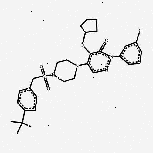 CC(C)(C)c1ccc(CS(=O)(=O)N2CCN(c3cnn(-c4cccc(Cl)c4)c(=O)c3OC3CCCC3)CC2)cc1